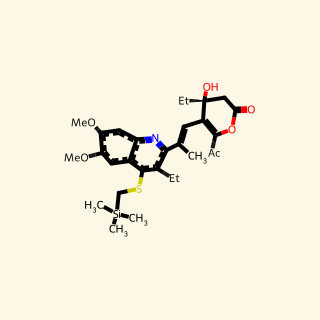 CCc1c(/C(C)=C/C2=C(C(C)=O)OC(=O)C[C@]2(O)CC)nc2cc(OC)c(OC)cc2c1SC[Si](C)(C)C